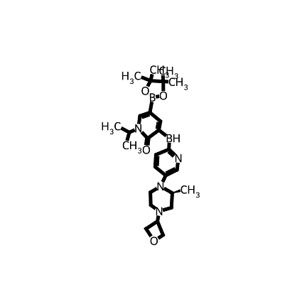 CC(C)n1cc(B2OC(C)(C)C(C)(C)O2)cc(Bc2ccc(N3CCN(C4COC4)C[C@@H]3C)cn2)c1=O